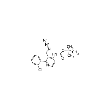 CC(C)(C)OC(=O)Nc1ccnc(-c2ccccc2Cl)c1CN=[N+]=[N-]